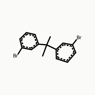 CC(C)(c1cccc(Br)c1)c1cccc(Br)c1